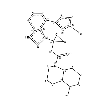 CC1CCCC2C1CCCN2C(=O)CC1(c2c[nH]c3cccc(-c4ccc(F)o4)c23)CC1